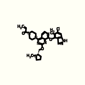 C=CC(=O)N1CCN(c2nc(OC[C@@H]3CCCN3C)nc3c(Oc4c(C)c(Cl)cc5[nH]ncc45)nccc23)CC1